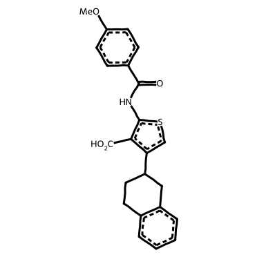 COc1ccc(C(=O)Nc2scc(C3CCc4ccccc4C3)c2C(=O)O)cc1